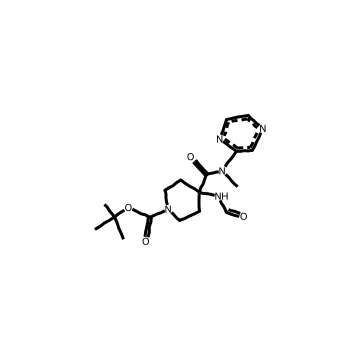 CN(C(=O)C1(NC=O)CCN(C(=O)OC(C)(C)C)CC1)c1cnccn1